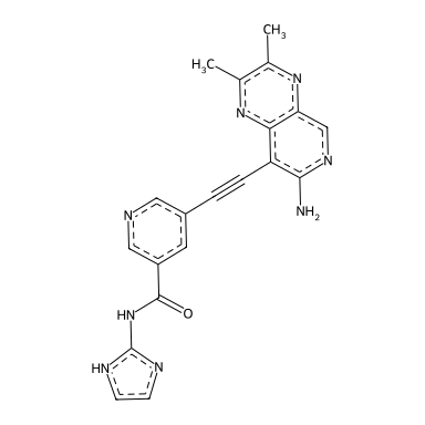 Cc1nc2cnc(N)c(C#Cc3cncc(C(=O)Nc4ncc[nH]4)c3)c2nc1C